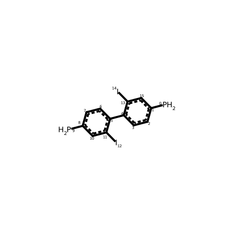 Pc1ccc(-c2ccc(P)cc2I)c(I)c1